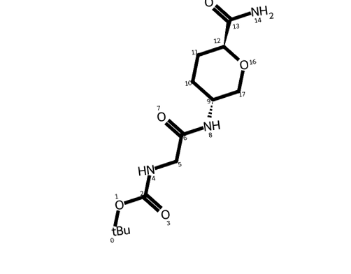 CC(C)(C)OC(=O)NCC(=O)N[C@@H]1CC[C@@H](C(N)=O)OC1